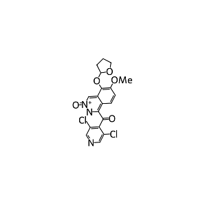 COc1ccc2c(C(=O)c3c(Cl)cncc3Cl)n[n+]([O-])cc2c1OC1CCCO1